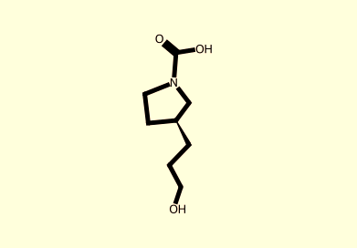 O=C(O)N1CC[C@H](CCCO)C1